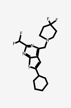 FC(F)c1nc(CN2CCC(F)(F)CC2)c2cc(C3CCCCC3)sc2n1